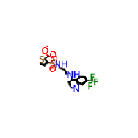 COC(=O)c1sccc1S(=O)(=O)NCCCNc1ccnc2cc(C(F)(F)F)ccc12